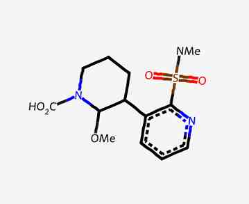 CNS(=O)(=O)c1ncccc1C1CCCN(C(=O)O)C1OC